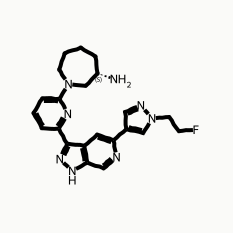 N[C@H]1CCCCN(c2cccc(-c3n[nH]c4cnc(-c5cnn(CCF)c5)cc34)n2)C1